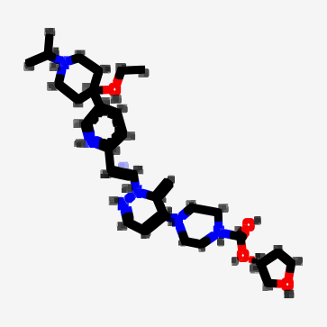 C=C1C(N2CCN(C(=O)O[C@@H]3CCOC3)CC2)=CC=NN1/C=C/c1ccc(C2(OCC)CCN(C(C)C)CC2)cn1